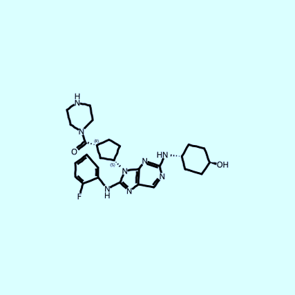 O=C([C@@H]1CC[C@H](n2c(Nc3ccccc3F)nc3cnc(N[C@H]4CC[C@H](O)CC4)nc32)C1)N1CCNCC1